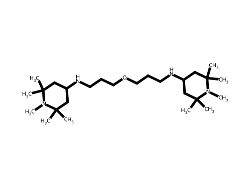 CN1C(C)(C)CC(NCCCOCCCNC2CC(C)(C)N(C)C(C)(C)C2)CC1(C)C